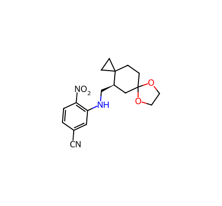 N#Cc1ccc([N+](=O)[O-])c(NC[C@@H]2CC3(CCC24CC4)OCCO3)c1